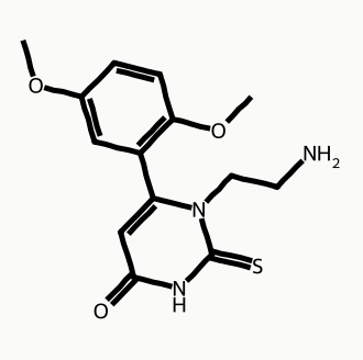 COc1ccc(OC)c(-c2cc(=O)[nH]c(=S)n2CCN)c1